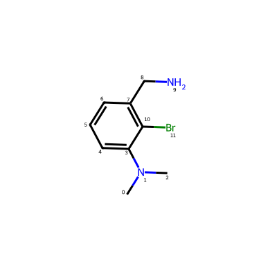 CN(C)c1cccc(CN)c1Br